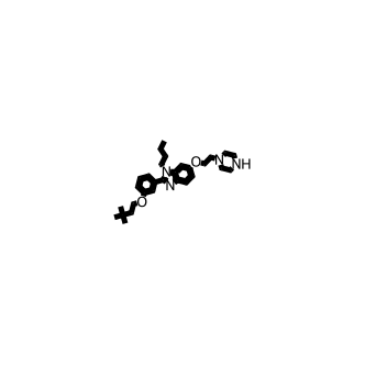 CCCCn1c(-c2cccc(OCCC(C)(C)C)c2)nc2ccc(OCCN3CCNCC3)cc21